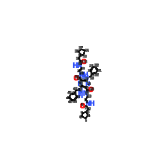 O=C(CC1CCCC1)NCCNC(=O)c1nc(NCc2ccccc2)c(C(=O)NCCNC(=O)CC2CCCC2)nc1NCc1ccccc1